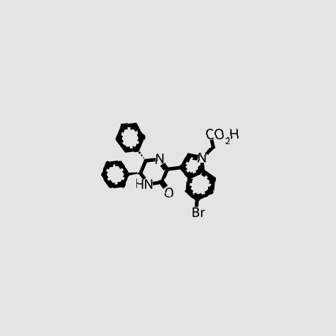 O=C(O)Cn1cc(C2=N[C@@H](c3ccccc3)[C@H](c3ccccc3)NC2=O)c2cc(Br)ccc21